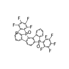 O=P1(c2c(F)c(F)c(F)c(F)c2F)c2ccccc2-c2c1ccc1c2P(=O)(c2c(F)c(F)c(F)c(F)c2F)c2ccccc2-1